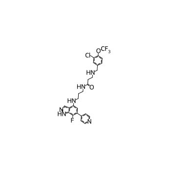 O=C(CCNCc1ccc(OC(F)(F)F)c(Cl)c1)NCCCNc1cc(-c2ccncc2)c(F)c2[nH]ncc12